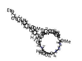 CCOCCC(=O)N1CCN(c2ncc3c(n2)CCN(C(=O)O[C@@H]2CC[C@@H](C[C@@H](N)[C@@H]4CC(=O)[C@H](C)/C=C(\C)[C@@H](O)[C@@H](O)C(=O)[C@H](C)C[C@H](C)/C=C/C=C/C=C(\C)[C@@H](OC)C[C@@H]5CC[C@@H](C)[C@@](O)(O5)C(=O)C(=O)N5CCCC[C@H]5C(=O)O4)C[C@H]2OC)C3)CC1